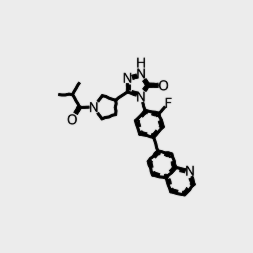 CC(C)C(=O)N1CCC(c2n[nH]c(=O)n2-c2ccc(-c3ccc4cccnc4c3)cc2F)C1